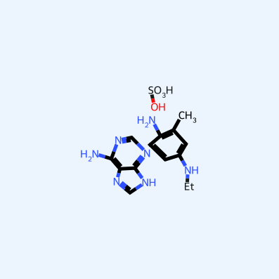 CCNc1ccc(N)c(C)c1.Nc1ncnc2[nH]cnc12.O=S(=O)(O)O